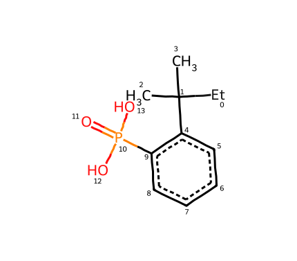 CCC(C)(C)c1ccccc1P(=O)(O)O